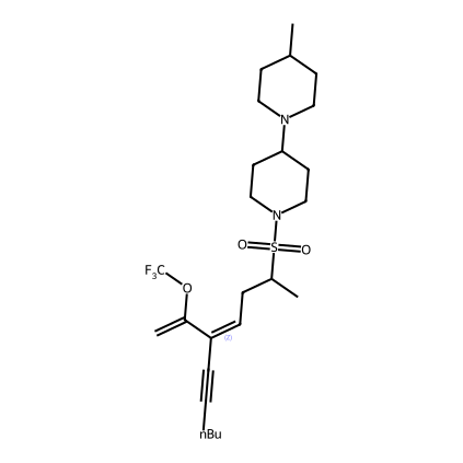 C=C(OC(F)(F)F)/C(C#CCCCC)=C\CC(C)S(=O)(=O)N1CCC(N2CCC(C)CC2)CC1